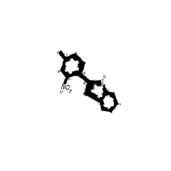 Cc1ccc(-c2cc3ccccc3s2)c([N+](=O)[O-])c1